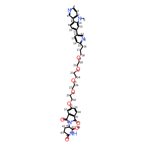 Cn1c2ccncc2c2ccc(-c3ccc(CCCOCCOCCOCCOCCOc4ccc5c(c4)C(=O)N(C4CCC(=O)NC4=O)C5=O)nc3)cc21